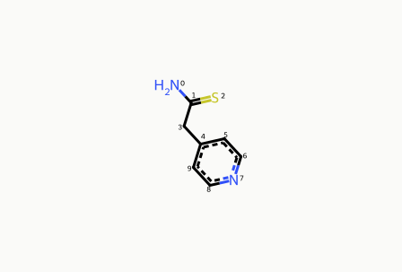 NC(=S)Cc1ccncc1